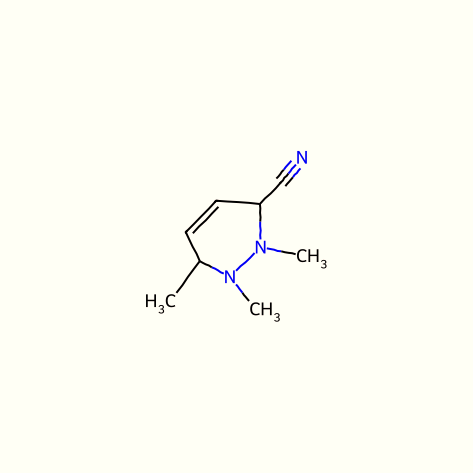 CC1C=CC(C#N)N(C)N1C